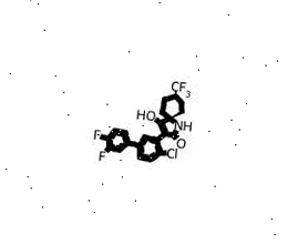 O=C1N[C@]2(CC[C@@H](C(F)(F)F)CC2)C(O)=C1c1cc(-c2ccc(F)c(F)c2)ccc1Cl